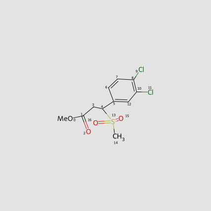 COC(=O)CC(c1ccc(Cl)c(Cl)c1)S(C)(=O)=O